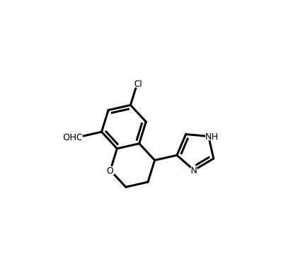 O=Cc1cc(Cl)cc2c1OCCC2c1c[nH]cn1